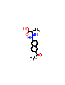 CC(=O)c1ccc2cc(NN[C@@H](C)C(=O)O)ccc2c1